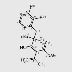 C=C(C)/C(C(=C)NC)=C(\C#N)C(C)(CCCC)Cc1cccc(F)c1F